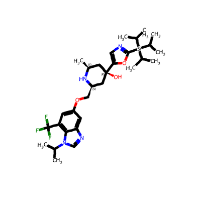 CC(C)n1cnc2cc(OC[C@@H]3C[C@@](O)(c4cnc([Si](C(C)C)(C(C)C)C(C)C)o4)C[C@H](C)N3)cc(C(F)(F)F)c21